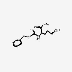 COC(=O)C(CCCO)NC(=O)OCc1ccccc1